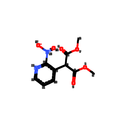 COC(=O)C(C(=O)OC)c1cccnc1[N+](=O)[O-]